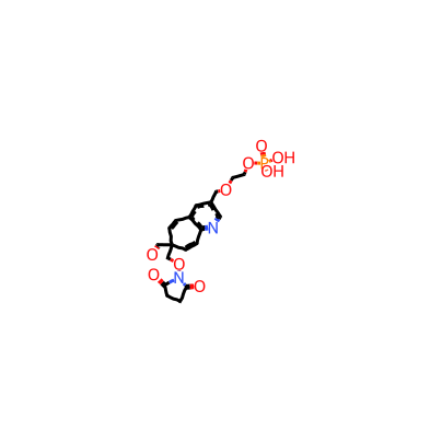 O=CC1(CON2C(=O)CCC2=O)C=Cc2cc(COCCOP(=O)(O)O)cnc2C=C1